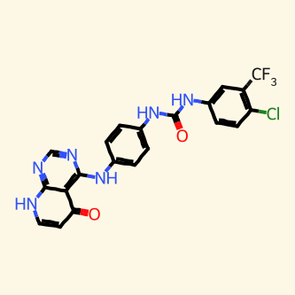 O=C(Nc1ccc(Nc2ncnc3[nH]ccc(=O)c23)cc1)Nc1ccc(Cl)c(C(F)(F)F)c1